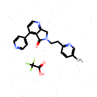 Cc1ccc(CCN2Cc3nccc(-c4ccncc4)c3C2=O)nc1.O=C(O)C(F)(F)F